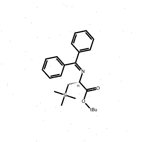 CC(C)(C)OC(=O)[C@H](C[Si](C)(C)C)N=C(c1ccccc1)c1ccccc1